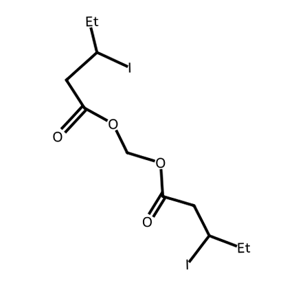 CCC(I)CC(=O)OCOC(=O)CC(I)CC